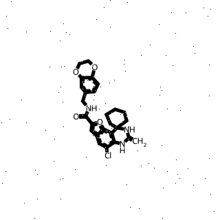 C=C1Nc2c(Cl)cc3cc(C(=O)NCc4ccc5c(c4)OCCO5)oc3c2C2(CCCCC2)N1